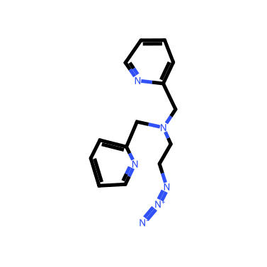 [N-]=[N+]=NCCN(Cc1ccccn1)Cc1ccccn1